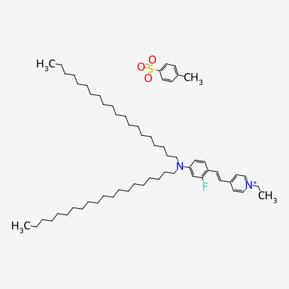 CCCCCCCCCCCCCCCCCCCCN(CCCCCCCCCCCCCCCCCCCC)c1ccc(C=Cc2cc[n+](CC)cc2)c(F)c1.Cc1ccc(S(=O)(=O)[O-])cc1